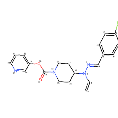 C=CN(/N=C/c1ccc(F)cc1)C1CCN(C(=O)Oc2cccnc2)CC1